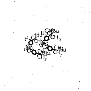 CC(C)(C)CC(C)(C)c1ccc(OP(=O)([O-])Oc2ccc(C(C)(C)CC(C)(C)C)cc2)cc1.CC(C)(C)CC(C)(C)c1ccc(OP(=O)([O-])Oc2ccc(C(C)(C)CC(C)(C)C)cc2)cc1.[Ca+2]